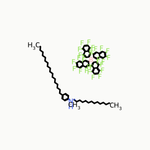 CCCCCCCCCCCCCCCCCCCc1ccc([NH+](C)CCCCCCCCCCCCCC)cc1.Fc1c(F)c(F)c2c(F)c([B-](c3c(F)c(F)c4c(F)c(F)c(F)c(F)c4c3F)(c3c(F)c(F)c4c(F)c(F)c(F)c(F)c4c3F)c3c(F)c(F)c4c(F)c(F)c(F)c(F)c4c3F)c(F)c(F)c2c1F